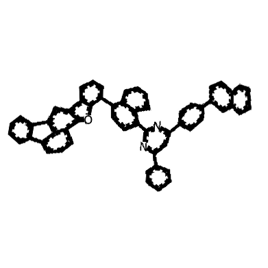 c1ccc(-c2cc(-c3ccc(-c4ccc5ccccc5c4)cc3)nc(-c3ccc(-c4cccc5c4oc4c6cccc7c6c(cc54)-c4ccccc4-7)c4ccccc34)n2)cc1